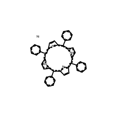 C1=Cc2nc1c(-c1ccccc1)c1ccc([nH]1)c(-c1ccccc1)c1nc(c(-c3ccccc3)c3ccc([nH]3)c2-c2ccccc2)C=C1.[Ni]